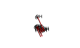 CC(=O)[C@H](O)[C@@H](O)[C@H](O)[C@H](O)CO.CC(=O)[C@H](O)[C@@H](O)[C@H](O)[C@H](O)CO.CCCCCCCCCCCCCCCCCC(=O)O.CCCCCCCCCCCCCCCCCC(=O)O.CCCCCCCCCCCCCCCCCC(=O)O